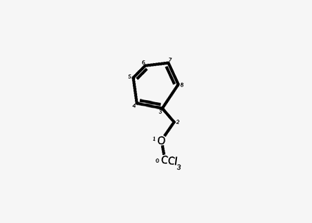 ClC(Cl)(Cl)OCc1ccccc1